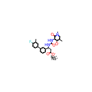 Cc1cc(-c2cccc([C@H](CC(=O)[O-])NC(=O)Nc3c([O-])c(C)cn(C)c3=O)c2)ccc1F.[Na+].[Na+]